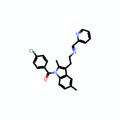 Cc1ccc2c(c1)c(CC/N=C/c1ccccn1)c(C)n2C(=O)c1ccc(Cl)cc1